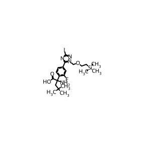 CC(C)(C)CC(N)(C(=O)O)c1ccc(-c2nc(I)nn2COCC[Si](C)(C)C)cc1F